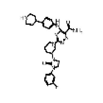 NC(=O)c1nnc(N2CCCC(N3CCN(c4cccc(F)c4)C3=O)C2)nc1Nc1ccc(C2CCNCC2)cc1